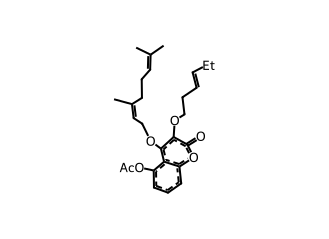 CCC=CCCOc1c(OCC=C(C)CCC=C(C)C)c2c(OC(C)=O)cccc2oc1=O